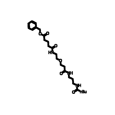 CCCCC(=O)NCCCNC(=O)CCOCCNC(=O)CCCC(=O)OCc1ccccc1